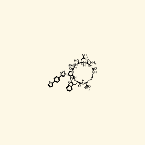 CC[C@H](C)[C@@H]1NC(O)[C@H](CC(N)=O)NC(=O)[C@@H](N)CC(=O)NCCCC[C@@H](C(N)=O)NC(=O)[C@H](Cc2csc3ccccc23)NC(=O)[C@@H]2C[C@H](n3cc(-c4ccc(-c5cccs5)cc4)nn3)CN2C1=O